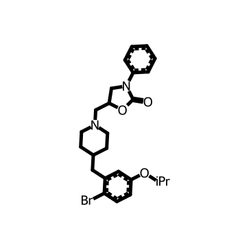 CC(C)Oc1ccc(Br)c(CC2CCN(CC3CN(c4ccccc4)C(=O)O3)CC2)c1